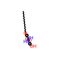 CCCCCCCCCCCCCCCCCCOc1ccc(NC(=O)C(=O)Nc2ccc(O)cc2)cc1